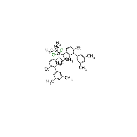 CCc1ccc2c(c1-c1cc(C)cc(C)c1)C=C(C)[CH]2[Zr]([Cl])([Cl])([CH]1C(C)=Cc2c1ccc(CC)c2-c1cc(C)cc(C)c1)[SiH](C)C